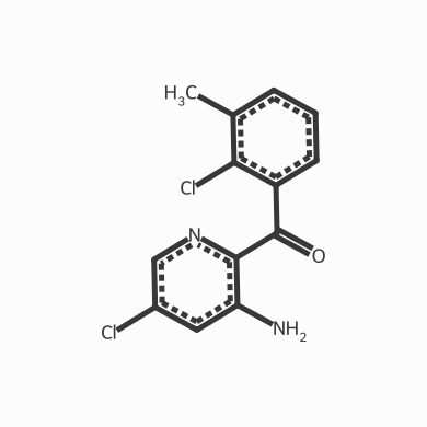 Cc1cccc(C(=O)c2ncc(Cl)cc2N)c1Cl